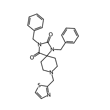 O=C1N(Cc2ccccc2)C(=O)C2(CCN(Cc3nccs3)CC2)N1Cc1ccccc1